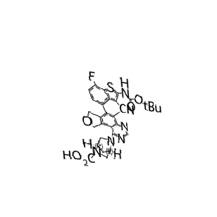 Cc1c(-c2ccc(F)c3sc(NC(=O)OC(C)(C)C)c(C#N)c23)c2c(c3c(N4C[C@H]5C[C@@H]4CN5C(=O)O)ncnc13)COC2